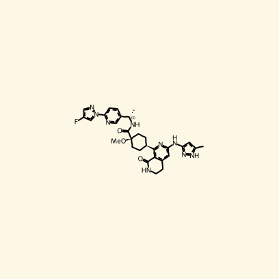 CO[C@]1(C(=O)N[C@@H](C)c2ccc(-n3cc(F)cn3)nc2)CC[C@H](c2nc(Nc3cc(C)[nH]n3)cc3c2C(=O)NCC3)CC1